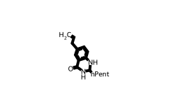 C=CCc1ccc2c(c1)C(=O)NC(CCCCC)N2